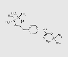 CC(C)(C)OC(=O)Nc1ccc(CB2OC(C)(C)C(C)(C)O2)cc1